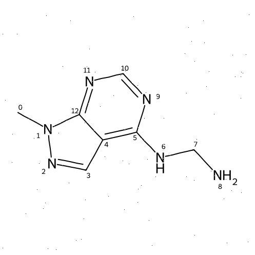 Cn1ncc2c(NCN)ncnc21